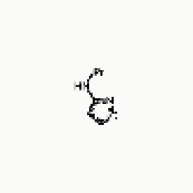 CC(C)Nc1ccon1